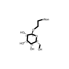 CCCCCCCCCCCO[C@H]1O[C@H](CO)[C@H](O)[C@H](O)[C@@H]1O